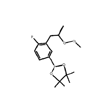 COOC(C)Cc1cc(P2OC(C)(C)C(C)(C)O2)ccc1F